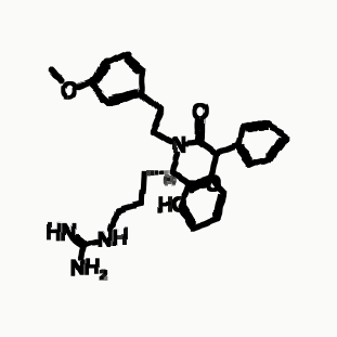 COc1cccc(CCN(C(=O)C(c2ccccc2)c2ccccc2)[C@@H](CCCNC(=N)N)C(=O)O)c1